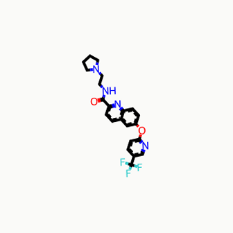 O=C(NCCN1CCCC1)c1ccc2cc(Oc3ccc(C(F)(F)F)cn3)ccc2n1